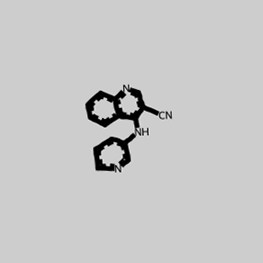 N#Cc1cnc2ccccc2c1Nc1cccnc1